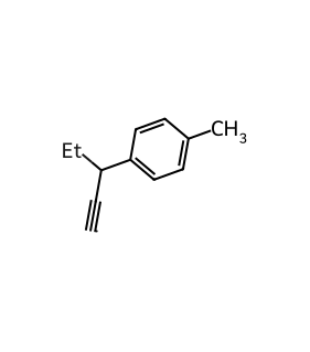 [C]#CC(CC)c1ccc(C)cc1